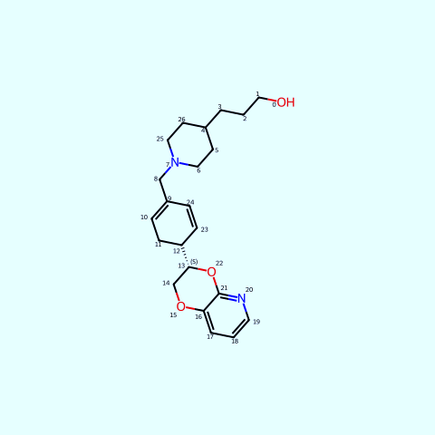 OCCCC1CCN(CC2=CCC([C@H]3COc4cccnc4O3)C=C2)CC1